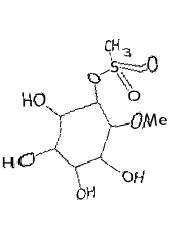 COC1C(O)C(O)C(O)C(O)C1OS(C)(=O)=O